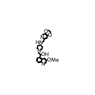 COc1cnc2cccc(C(O)CN3CCC(NCc4cc5c(cn4)OCCO5)CC3)c2c1